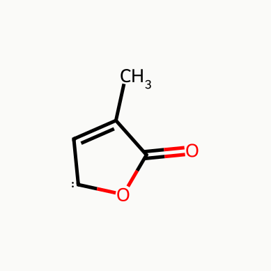 CC1=C[C]OC1=O